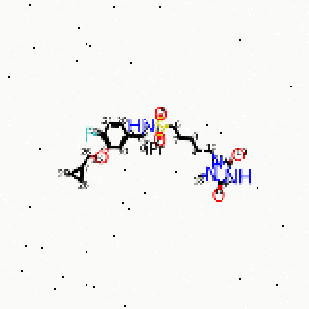 CC(C)[C@@H](NS(=O)(=O)CCCCCn1c(=O)[nH]c(=O)n1C)c1ccc(F)c(OCC2CC2)c1